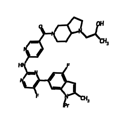 Cc1cc2c(F)cc(-c3nc(Nc4ccc(C(=O)N5CCC6C(CCN6CC(C)O)C5)cn4)ncc3F)cc2n1C(C)C